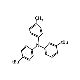 Cc1ccc(N(c2ccc(C(C)(C)C)cc2)c2cccc(C(C)(C)C)c2)cc1